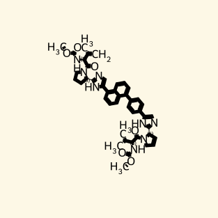 C=C(C)[C@H](NC(=O)OC)C(=O)N1CCC[C@H]1c1ncc(-c2cccc3c(-c4ccc(-c5cnc([C@@H]6C=CCN6C(=O)[C@@H](NC(=O)OC)C(C)C)[nH]5)cc4)cccc23)[nH]1